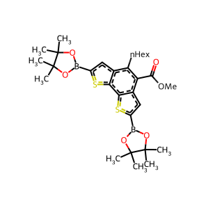 CCCCCCc1c(C(=O)OC)c2cc(B3OC(C)(C)C(C)(C)O3)sc2c2sc(B3OC(C)(C)C(C)(C)O3)cc12